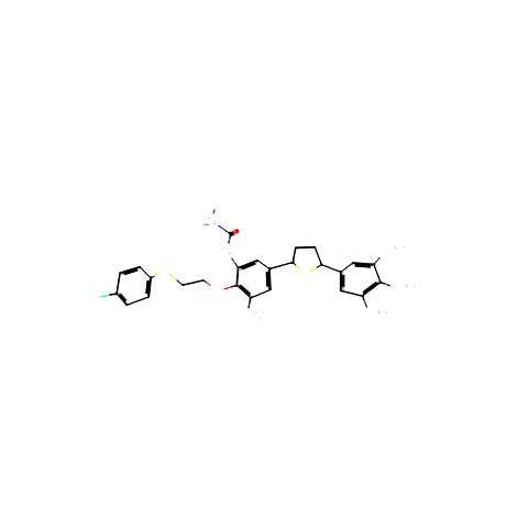 CCCCCCCCN(O)C(=O)Nc1cc(C2CCC(c3cc(OC)c(OC)c(OC)c3)S2)cc(OC)c1OCCSc1ccc(F)cc1